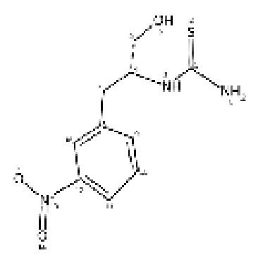 NC(=S)N[C@@H](CO)Cc1cccc([N+](=O)[O-])c1